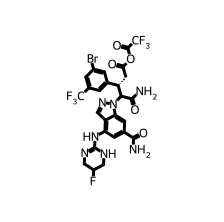 NC(=O)c1cc(NC2=NCC(F)CN2)c2cnn(C(C(N)=O)[C@@H](CC(=O)OC(=O)C(F)(F)F)c3cc(Br)cc(C(F)(F)F)c3)c2c1